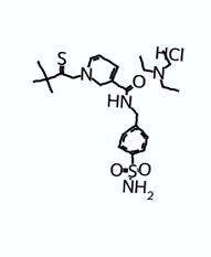 CC(C)(C)C(=S)CN1C=CC=C(C(=O)NCc2ccc(S(N)(=O)=O)cc2)C1.CCN(CC)CC.Cl